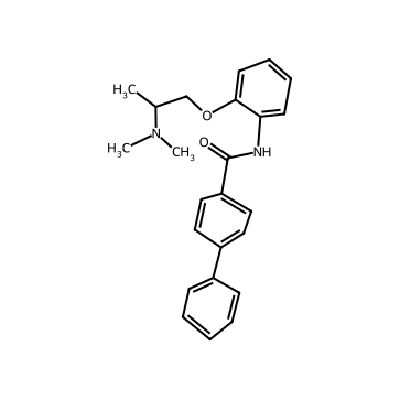 CC(COc1ccccc1NC(=O)c1ccc(-c2ccccc2)cc1)N(C)C